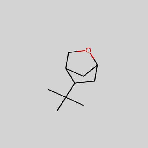 CC(C)(C)C1CC2CC1CO2